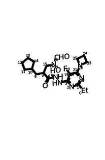 CCc1nc(NNC(=O)C(CC2CCCC2)CN(O)C=O)c(F)c(N2CCC2)n1